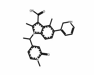 Cc1c(C2=CC=CNC2)ccc2c1c(C(=O)N=O)c(C)n2C(C)c1ccn(C)c(=O)c1